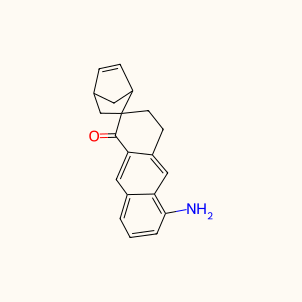 Nc1cccc2cc3c(cc12)CCC1(CC2C=CC1C2)C3=O